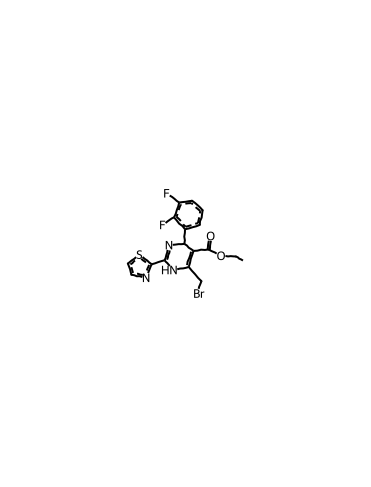 CCOC(=O)C1=C(CBr)NC(c2nccs2)=NC1c1cccc(F)c1F